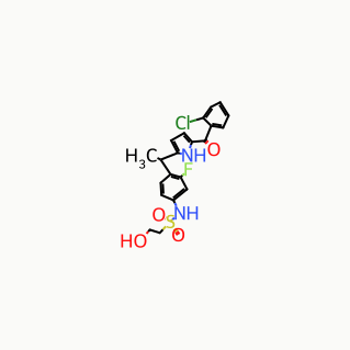 CC(c1ccc(C(=O)c2ccccc2Cl)[nH]1)c1ccc(NS(=O)(=O)CCO)cc1F